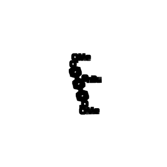 CCCCOc1cc(-c2ccc(OCOC)cc2)ccc1-c1ccc(OCOC)cc1